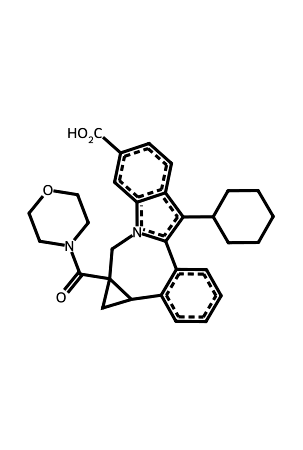 O=C(O)c1ccc2c(C3CCCCC3)c3n(c2c1)CC1(C(=O)N2CCOCC2)CC1c1ccccc1-3